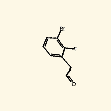 O=CCc1cccc(Br)c1F